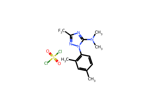 Cc1ccc(-n2nc(C(F)(F)F)nc2N(C)C)c(C)c1.O=S(=O)(Cl)Cl